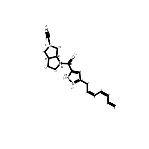 C=C/C=C\C=C/Cc1cc(C(=O)N2CCC3CN(C#N)CC32)[nH]n1